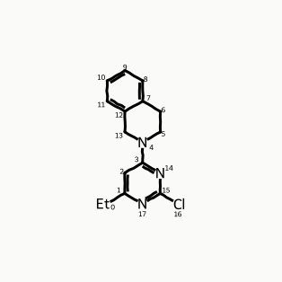 CCc1cc(N2CCc3ccccc3C2)nc(Cl)n1